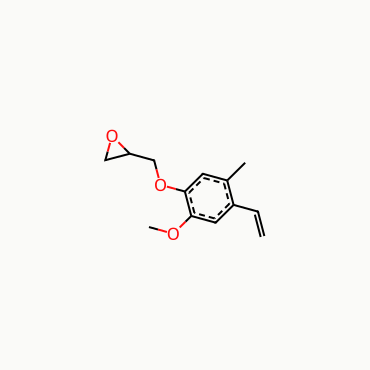 C=Cc1cc(OC)c(OCC2CO2)cc1C